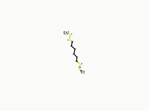 CCSSCCCCCCSSCC